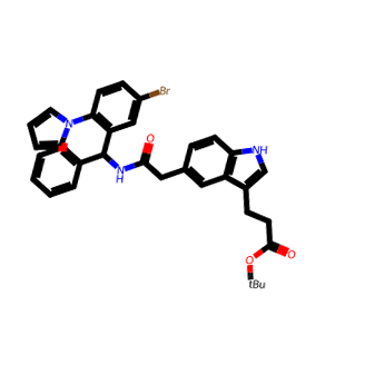 CC(C)(C)OC(=O)CCc1c[nH]c2ccc(CC(=O)NC(c3ccccc3)c3cc(Br)ccc3-n3cccc3)cc12